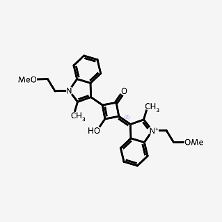 COCCn1c(C)c(C2=C(O)/C(=C3/C(C)=[N+](CCOC)c4ccccc43)C2=O)c2ccccc21